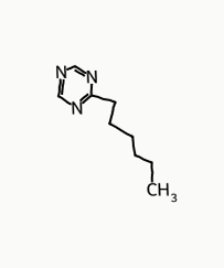 CCCCCCc1ncncn1